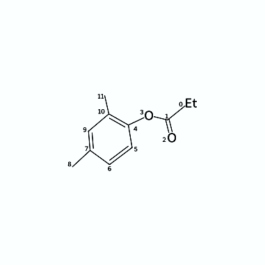 CCC(=O)Oc1ccc(C)cc1C